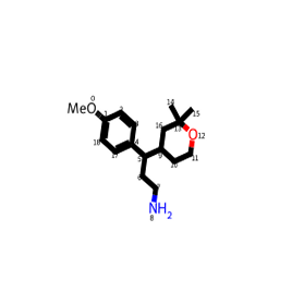 COc1ccc(C(CCN)C2CCOC(C)(C)C2)cc1